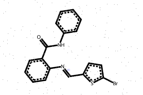 O=C(Nc1ccccc1)c1ccccc1/N=C/c1ccc(Br)s1